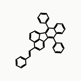 C(=Cc1ccc2c3c(cccc13)-c1c-2c(-c2ccccc2)c2ccccc2c1-c1ccccc1)c1ccccc1